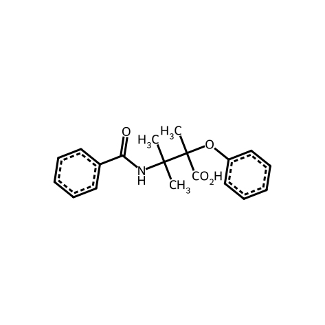 CC(C)(NC(=O)c1ccccc1)C(C)(Oc1ccccc1)C(=O)O